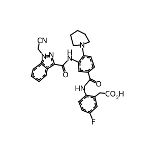 N#CCn1nc(C(=O)Nc2cc(C(=O)Nc3ccc(F)cc3CC(=O)O)ccc2N2CCCCC2)c2ccccc21